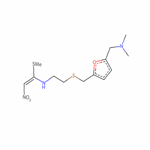 CS/C(=C/[N+](=O)[O-])NCCSCc1ccc(CN(C)C)o1